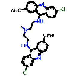 COc1ccc2nc3cc(Cl)ccc3c(NCCN(C)CCNc3c4ccc(Cl)cc4nc4ccc(OC)cc34)c2c1